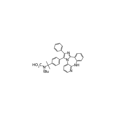 CC(C)(C)N(C(=O)O)C(C)(C)c1ccc(-c2c(-c3ccccc3)nc3n2-c2cccnc2Nc2ccccc2-3)cc1